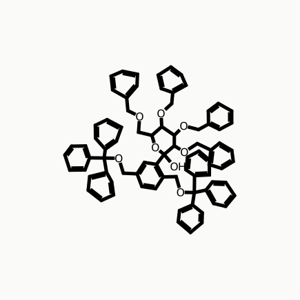 OC1(c2cc(COC(c3ccccc3)(c3ccccc3)c3ccccc3)ccc2COC(c2ccccc2)(c2ccccc2)c2ccccc2)OC(COCc2ccccc2)C(OCc2ccccc2)C(OCc2ccccc2)C1OCc1ccccc1